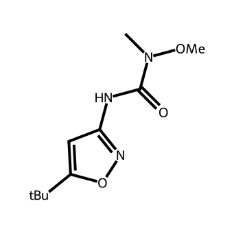 CON(C)C(=O)Nc1cc(C(C)(C)C)on1